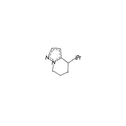 CC(C)C1CCCn2nccc21